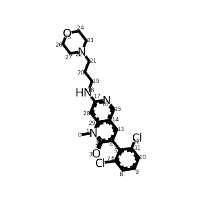 Cn1c(=O)c(-c2c(Cl)cccc2Cl)cc2cnc(NCCCN3CCOCC3)cc21